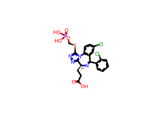 O=C(O)CC[C@@H]1N=C(c2ccccc2Cl)c2cc(Cl)ccc2-n2c(SCOP(=O)(O)O)nnc21